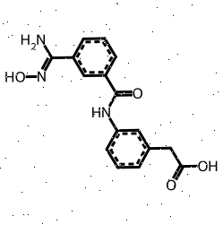 NC(=NO)c1cccc(C(=O)Nc2cccc(CC(=O)O)c2)c1